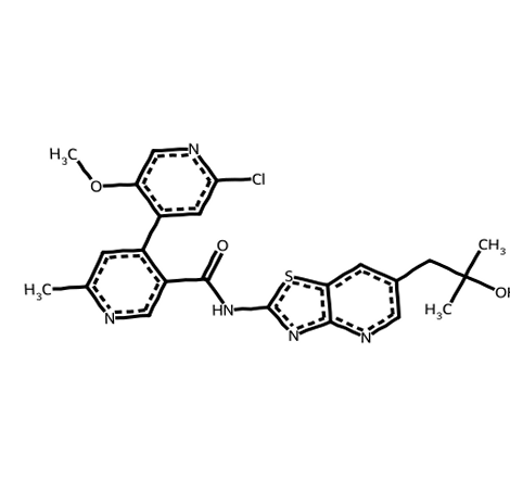 COc1cnc(Cl)cc1-c1cc(C)ncc1C(=O)Nc1nc2ncc(CC(C)(C)O)cc2s1